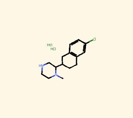 CN1CCNCC1C1CCc2cc(Cl)ccc2C1.Cl.Cl